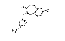 Cn1cnc(CN2Cc3ccc(Cl)cc3CCC2=O)c1